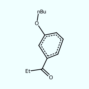 CCCCOc1cccc(C(=O)CC)c1